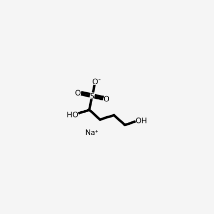 O=S(=O)([O-])C(O)CCCO.[Na+]